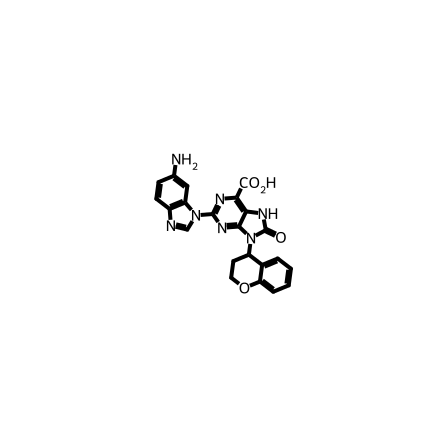 Nc1ccc2ncn(-c3nc(C(=O)O)c4[nH]c(=O)n(C5CCOc6ccccc65)c4n3)c2c1